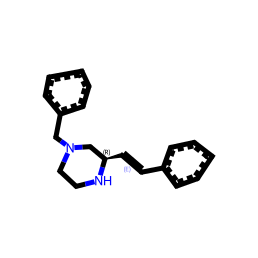 C(=C\[C@@H]1CN(Cc2ccccc2)CCN1)/c1ccccc1